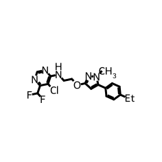 CCc1ccc(-c2cc(OCCNc3ncnc(C(F)F)c3Cl)nn2C)cc1